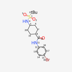 CC(C)(C)S(=O)(=O)NC1CCC(C(=O)Nc2ccc(Br)cc2)CC1